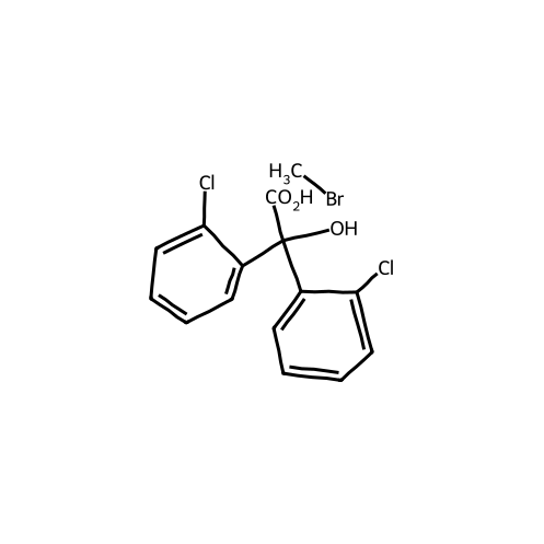 CBr.O=C(O)C(O)(c1ccccc1Cl)c1ccccc1Cl